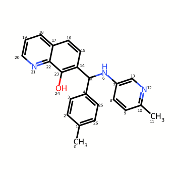 Cc1ccc(C(Nc2ccc(C)nc2)c2ccc3cccnc3c2O)cc1